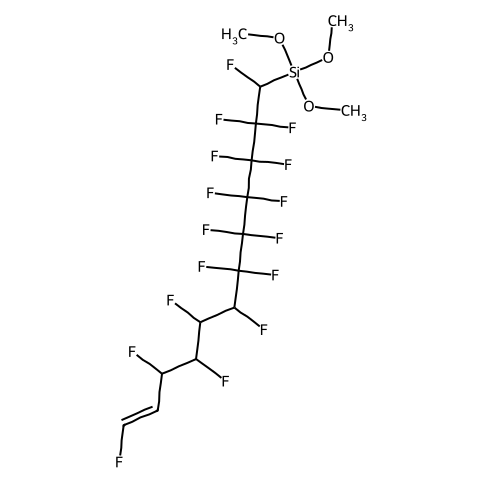 CO[Si](OC)(OC)C(F)C(F)(F)C(F)(F)C(F)(F)C(F)(F)C(F)(F)C(F)C(F)C(F)C(F)C=CF